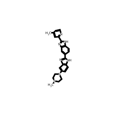 Cc1ccnc(-c2nc3cc(-c4nc5cc(N6CCN(C)CC6)ccc5[nH]4)ccc3[nH]2)c1